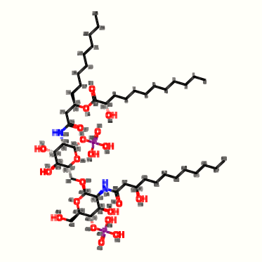 CCCCCCCCCC[C@H](O)C(=O)O[C@H](CCCCCCCCC)CC(=O)N[C@@H]1[C@H](OP(=O)(O)O)O[C@H](CO[C@@H]2O[C@H](CO)[C@@H](OP(=O)(O)O)[C@H](O)[C@@H]2NC(=O)C[C@H](O)CCCCCCCCC)[C@@H](O)[C@@H]1O